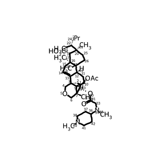 CC(=O)O[C@@H]1C[C@@]23COC[C@](C)([C@@H]2CC[C@H]2C3=CC[C@@]3(C)[C@H](C(=O)O)[C@@](C)([C@H](C)C(C)C)CC[C@]23C)[C@H]1OC(=O)CN(C)C1CCN(C)CC1